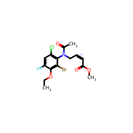 CCOc1c(F)cc(Cl)c(N(C/C=C\C(=O)OC)C(C)=O)c1Br